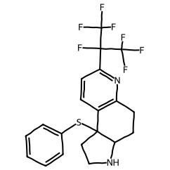 FC(F)(F)C(F)(c1ccc2c(n1)CCC1NCCC21Sc1ccccc1)C(F)(F)F